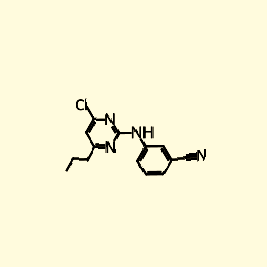 CCCc1cc(Cl)nc(Nc2cccc(C#N)c2)n1